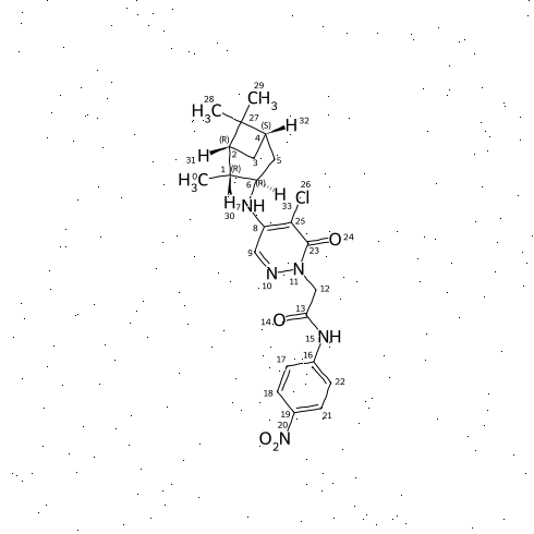 C[C@@H]1[C@H]2C[C@@H](C[C@H]1Nc1cnn(CC(=O)Nc3ccc([N+](=O)[O-])cc3)c(=O)c1Cl)C2(C)C